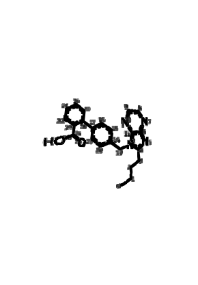 CCCCc1nc2nccnc2n1Cc1ccc(-c2ccccc2C(=O)O)cc1